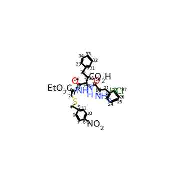 CCOC(=O)[C@H](CSCc1ccc([N+](=O)[O-])cc1)NC(=O)[C@@H](NC(=O)[C@@H](N)Cc1ccccc1)C(Cc1ccccc1)C(=O)O.Cl